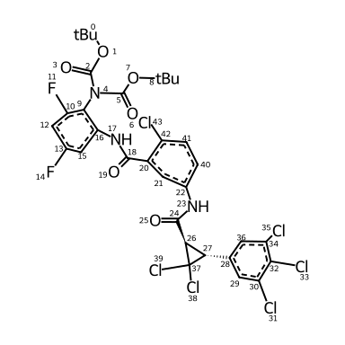 CC(C)(C)OC(=O)N(C(=O)OC(C)(C)C)c1c(F)cc(F)cc1NC(=O)c1cc(NC(=O)[C@H]2[C@H](c3cc(Cl)c(Cl)c(Cl)c3)C2(Cl)Cl)ccc1Cl